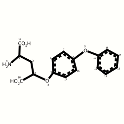 NC(CC(Oc1ccc(Oc2ccccc2)cc1)C(=O)O)C(=O)O